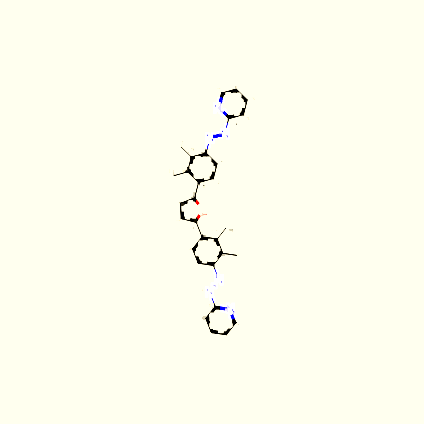 Cc1c(N=Nc2ccccn2)ccc(-c2ccc(-c3ccc(N=Nc4ccccn4)c(C)c3C)o2)c1C